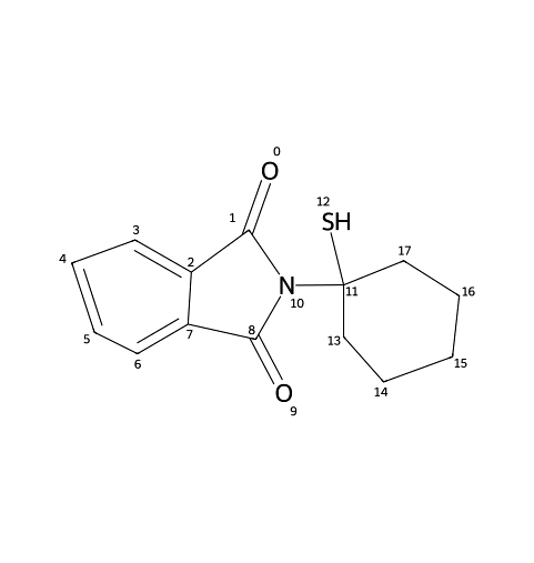 O=C1c2ccccc2C(=O)N1C1(S)CCCCC1